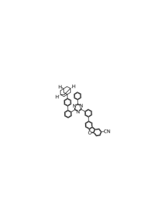 N#Cc1ccc2oc3ccc(-c4cccc(-c5nc(-c6ccccc6)nc(-c6ccccc6-c6ccc(C78C[C@H]9C[C@@H](C7)C[C@@H](C8)C9)cc6)n5)c4)cc3c2c1